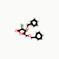 O=C1O[C@H](COCc2ccccc2)[C@H](OCc2ccccc2)[C@@H]1Br